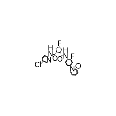 O=C(Nc1ccc(Cl)cn1)[C@H]1C[C@H](F)C[C@@H]1C(=O)Nc1ccc(-n2ccccc2=O)cc1F